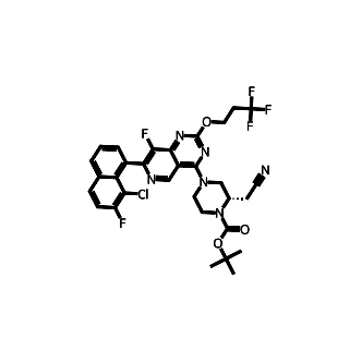 CC(C)(C)OC(=O)N1CCN(c2nc(OCCC(F)(F)F)nc3c(F)c(-c4cccc5ccc(F)c(Cl)c45)ncc23)C[C@@H]1CC#N